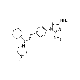 CN1CCN(C(C=Cc2ccc(-n3nc(N)nc3N)cc2)N2CCCCC2)CC1